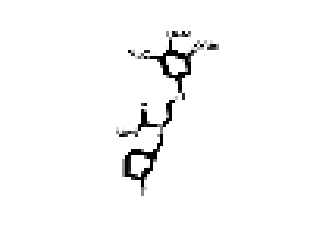 CNC(=O)N(CCOc1cc(OC)c(OC)c(OC)c1)Cc1cccc(F)c1